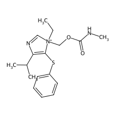 CC[N+]1(COC(=O)NC)C=NC(C(C)C)=C1Sc1ccccc1